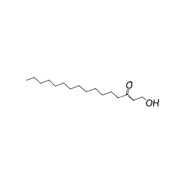 CCCCCCCCCCCCCC(=O)CCO